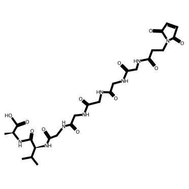 CC(C)[C@H](NC(=O)CNC(=O)CNC(=O)CNC(=O)CNC(=O)CNC(=O)CCN1C(=O)C=CC1=O)C(=O)N[C@@H](C)C(=O)O